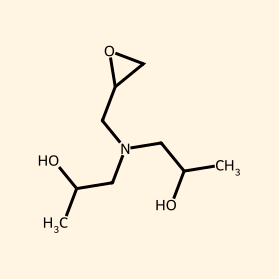 CC(O)CN(CC(C)O)CC1CO1